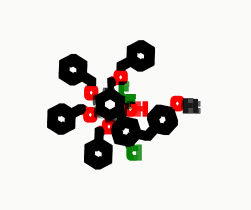 CCOc1ccc(Cc2cc([C@]3(O)[C@H](OCc4ccccc4)[C@@H](OCc4ccccc4)[C@H](OCc4ccccc4)[C@@H](COCc4ccccc4)C3(F)F)ccc2Cl)cc1